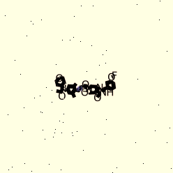 CC(=O)N(c1cc(C)c(/C=C/S(=O)(=O)N2CCC3(CC2)N=C(c2cccc(OF)c2)NC3=O)c(C)c1)C1CCOCC1